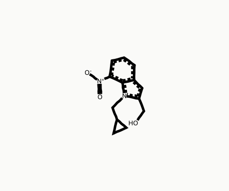 O=[N+]([O-])c1cccc2cc(CO)n(CC3CC3)c12